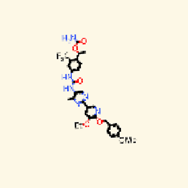 CCOc1cc(-c2ncc(NC(=O)Nc3ccc(C(C)OC(N)=O)c(C(F)(F)F)c3)c(C)n2)cnc1OCc1ccc(OC)cc1